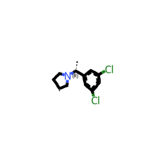 C[C@H](c1cc(Cl)cc(Cl)c1)N1C[CH]CC1